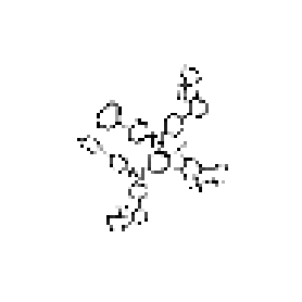 CC1(C)c2ccccc2-c2cc3c(cc21)-c1cc(N(c2ccc(-c4ccccc4)cc2)c2ccc(-c4cccc5c4oc4ccccc45)cc2)cc(N(c2ccc(-c4ccccc4)cc2)c2ccc(-c4cccc5c4oc4ccccc45)cc2)c1C3(C)C